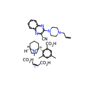 C=CCN1CCN(c2nc3ccccc3nc2C#N)CC1.Cc1cc(C)c([C@]23CCC[C@H](CC2)N3C)c(C(=O)O)c1.O=C(O)/C=C\C(=O)O